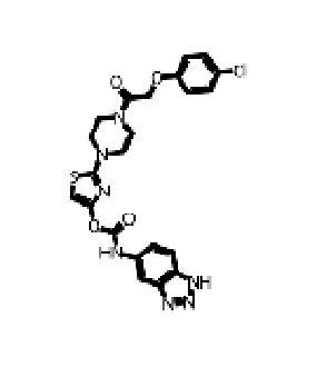 O=C(Nc1ccc2[nH]nnc2c1)Oc1csc(N2CCN(C(=O)COc3ccc(Cl)cc3)CC2)n1